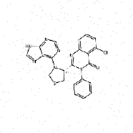 O=c1c2c(Cl)cccc2nc([C@@H]2CSCN2c2ncnc3[nH]cnc23)n1-c1ccccc1